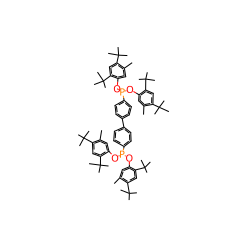 Cc1cc(OP(Oc2cc(C)c(C(C)(C)C)cc2C(C)(C)C)c2ccc(-c3ccc(P(Oc4cc(C)c(C(C)(C)C)cc4C(C)(C)C)Oc4cc(C)c(C(C)(C)C)cc4C(C)(C)C)cc3)cc2)c(C(C)(C)C)cc1C(C)(C)C